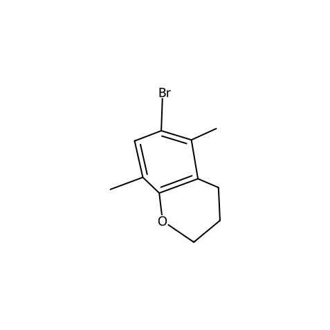 Cc1cc(Br)c(C)c2c1OCCC2